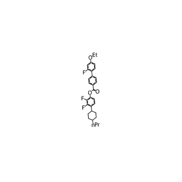 CCCC1CCC(c2ccc(OC(=O)c3ccc(-c4ccc(OCC)cc4F)cc3)c(F)c2F)CC1